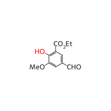 CCOC(=O)c1cc(C=O)cc(OC)c1O